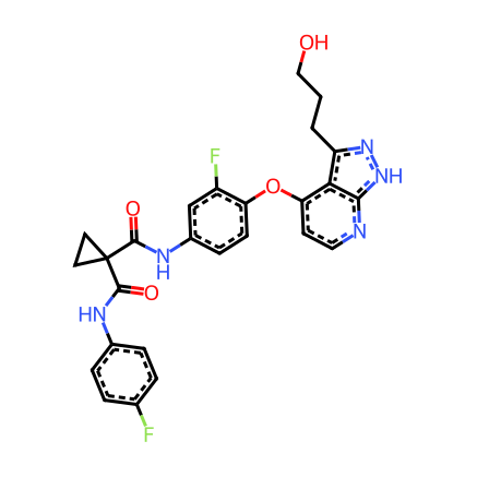 O=C(Nc1ccc(F)cc1)C1(C(=O)Nc2ccc(Oc3ccnc4[nH]nc(CCCO)c34)c(F)c2)CC1